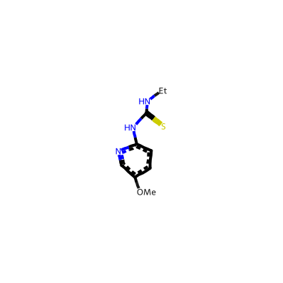 CCNC(=S)Nc1ccc(OC)cn1